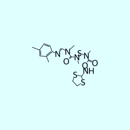 Cc1ccc(N=CN(C)C(=O)N(C)SN(C)C(=O)ONC2SCCS2)c(C)c1